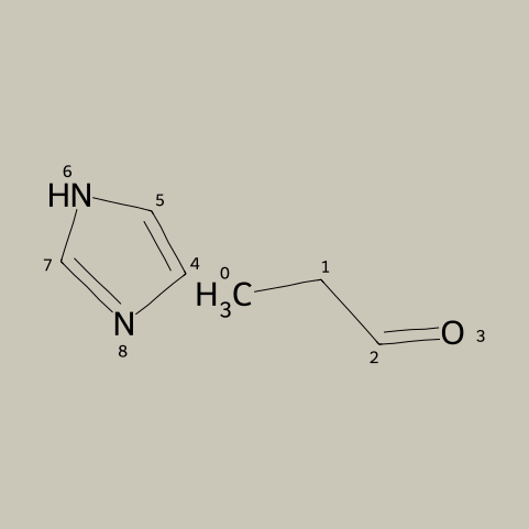 CCC=O.c1c[nH]cn1